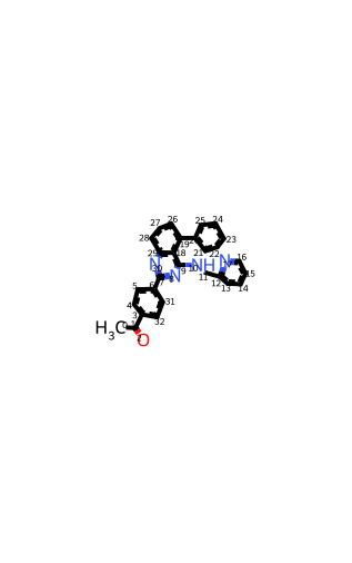 CC(=O)c1ccc(-c2nc(NCc3ccccn3)c3c(-c4ccccc4)cccc3n2)cc1